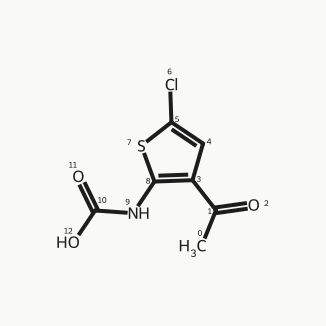 CC(=O)c1cc(Cl)sc1NC(=O)O